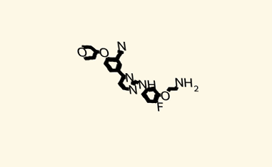 N#Cc1cc(-c2ccnc(Nc3ccc(F)c(OCCN)c3)n2)ccc1OC1CCOCC1